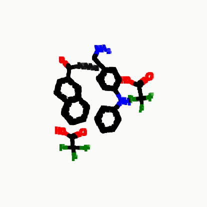 CNC(=O)c1ccc2ccccc2c1.NCc1ccc(Nc2ccccc2)cc1.O=C(O)C(F)(F)F.O=C(O)C(F)(F)F